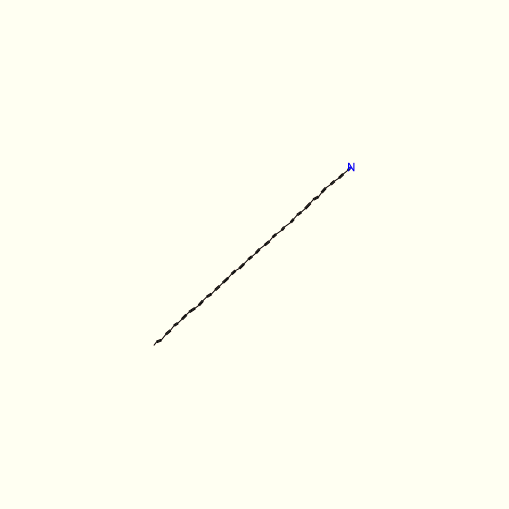 CC#CC#CC#CC#CC#CC#CC#CC#CC#CC#CC#CC#CC#CC#CC#CC#CC#CC#CC#CC#CC#CC#CC#CC#N